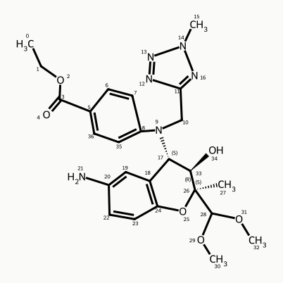 CCOC(=O)c1ccc(N(Cc2nnn(C)n2)[C@H]2c3cc(N)ccc3O[C@](C)(C(OC)OC)[C@@H]2O)cc1